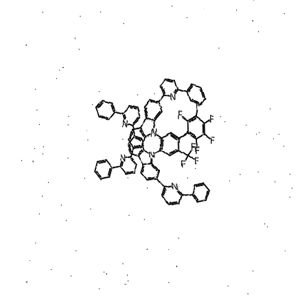 Fc1c(F)c(F)c(-c2cc(-n3c4cc(-c5cccc(-c6ccccc6)n5)ccc4c4ccc(-c5cccc(-c6ccccc6)n5)cc43)c(-n3c4cc(-c5cccc(-c6ccccc6)n5)ccc4c4ccc(-c5cccc(-c6ccccc6)n5)cc43)cc2C(F)(F)F)c(F)c1F